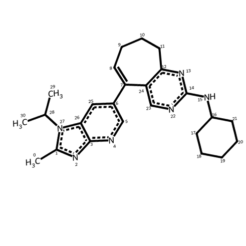 Cc1nc2ncc(C3=CCCCc4nc(NC5CCCCC5)ncc43)cc2n1C(C)C